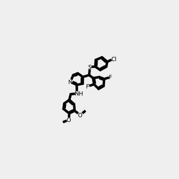 COc1ccc(CNc2cc(C(Sc3ccc(Cl)cc3)c3cc(F)ccc3F)ccn2)cc1OC